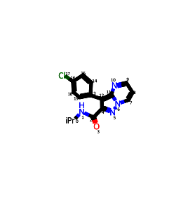 CC(C)NC(=O)c1nn2cccnc2c1-c1ccc(Cl)cc1